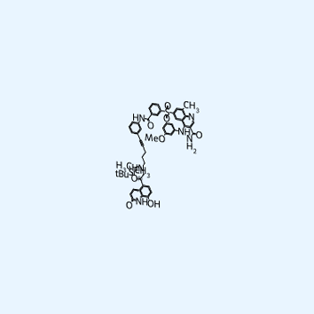 COc1cccc(Nc2c(C(N)=O)cnc3c(C)cc(S(=O)(=O)c4cccc(C(=O)Nc5cccc(C#CCCCNC[C@H](O[Si](C)(C)C(C)(C)C)c6ccc(O)c7[nH]c(=O)ccc67)c5)c4)cc23)c1